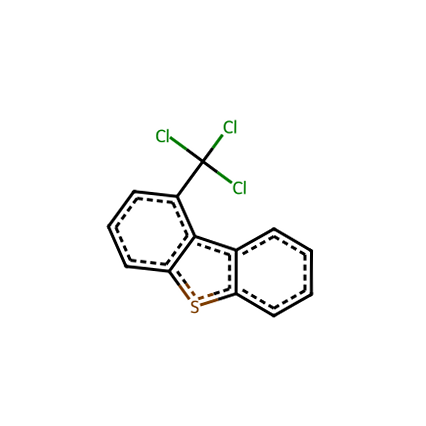 ClC(Cl)(Cl)c1cccc2sc3ccccc3c12